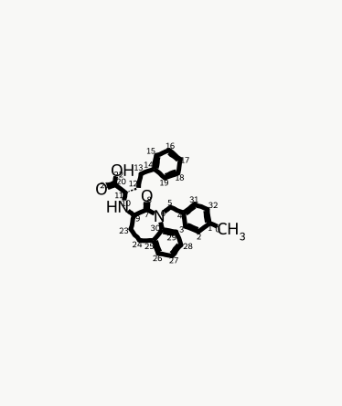 Cc1ccc(CN2C(=O)C(N[C@@H](CCc3ccccc3)C(=O)O)CCc3ccccc32)cc1